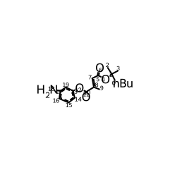 CCCCC(C)(C)OC(=O)C=C(C)C(=O)Oc1cccc(N)c1